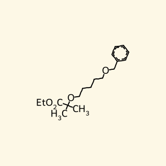 CCOC(=O)C(C)(C)OCCCCCOCc1ccccc1